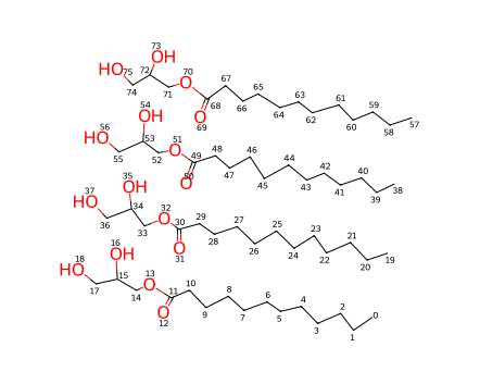 CCCCCCCCCCCC(=O)OCC(O)CO.CCCCCCCCCCCC(=O)OCC(O)CO.CCCCCCCCCCCC(=O)OCC(O)CO.CCCCCCCCCCCC(=O)OCC(O)CO